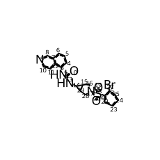 O=C(Nc1cccc2cnccc12)NC1C2CN(S(=O)(=O)c3ccccc3Br)CC21